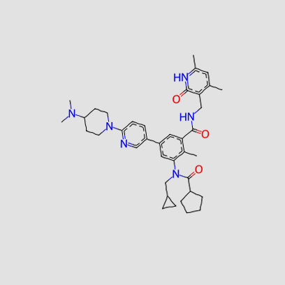 Cc1cc(C)c(CNC(=O)c2cc(-c3ccc(N4CCC(N(C)C)CC4)nc3)cc(N(CC3CC3)C(=O)C3CCCC3)c2C)c(=O)[nH]1